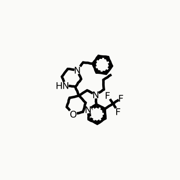 CCCN(CC1(C2CN(Cc3ccccc3)CCN2)CCOCC1)c1ncccc1C(F)(F)F